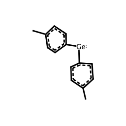 Cc1cc[c]([Ge][c]2ccc(C)cc2)cc1